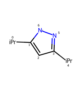 CC(C)C1=CC(C(C)C)=N[N]1